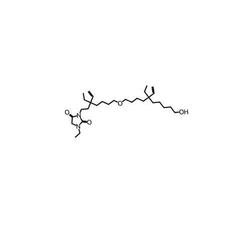 C=CC(CC)(CCCCCO)CCCCOCCCCC(C=C)(CC)CCN1C(=O)CN(CC)C1=O